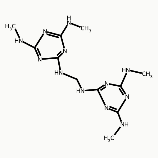 CNc1nc(NC)nc(NCNc2nc(NC)nc(NC)n2)n1